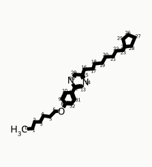 CCCCCCCOc1ccc(-c2cnc(CCCCCCCCC3CCCC3)cn2)cc1